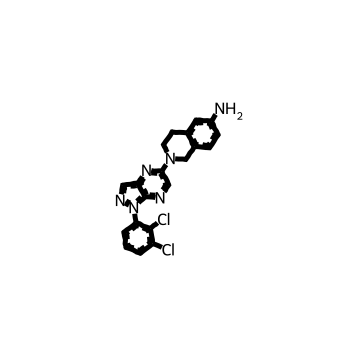 Nc1ccc2c(c1)CCN(c1cnc3c(cnn3-c3cccc(Cl)c3Cl)n1)C2